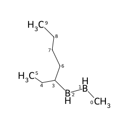 CBBC(CC)CCCC